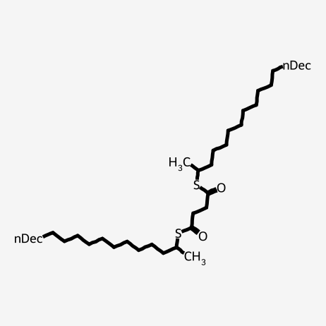 CCCCCCCCCCCCCCCCCCCCC(C)SC(=O)CCC(=O)SC(C)CCCCCCCCCCCCCCCCCCCC